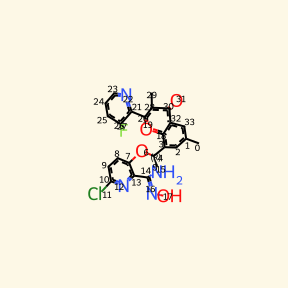 Cc1cc([C@@H](C)Oc2ccc(Cl)nc2C(N)=NO)c2oc(-c3ncccc3F)c(C)c(=O)c2c1